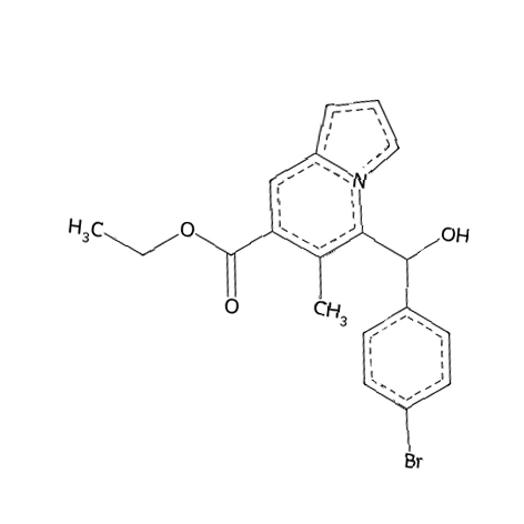 CCOC(=O)c1cc2cccn2c(C(O)c2ccc(Br)cc2)c1C